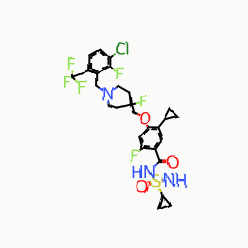 N=S(=O)(NC(=O)c1cc(C2CC2)c(OCC2(F)CCN(Cc3c(C(F)(F)F)ccc(Cl)c3F)CC2)cc1F)C1CC1